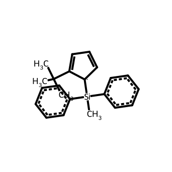 CC(C)(C)C1=CC=C[C]1[Si](C)(c1ccccc1)c1ccccc1